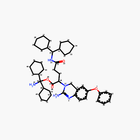 NC1=Nc2ccc(Oc3ccccc3)cc2CN1C(CCC(=O)NC(C1CCCCC1)C1CCCCC1)C(=O)OC(N)(C1CCCCC1)C1CCCCC1